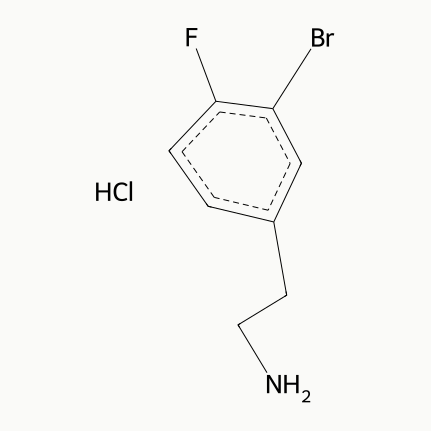 Cl.NCCc1ccc(F)c(Br)c1